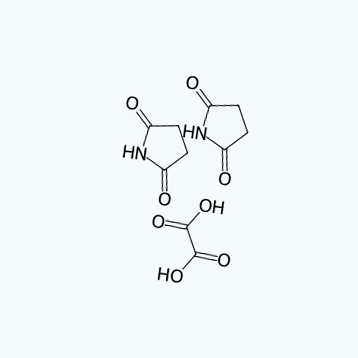 O=C(O)C(=O)O.O=C1CCC(=O)N1.O=C1CCC(=O)N1